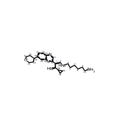 N=C(/C(=C\NCCCCCCN)c1cnc2ccc(C3CCOCC3)cc2n1)C1CC1